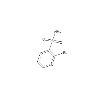 CCc1ncccc1S(N)(=O)=O